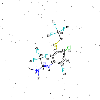 CN(C)/C(=N/c1cc(SCC(F)(F)F)c(Cl)cc1F)C(F)(F)F